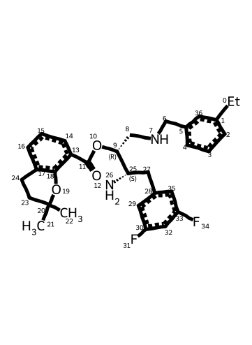 CCc1cccc(CNC[C@@H](OC(=O)c2cccc3c2OC(C)(C)CC3)[C@@H](N)Cc2cc(F)cc(F)c2)c1